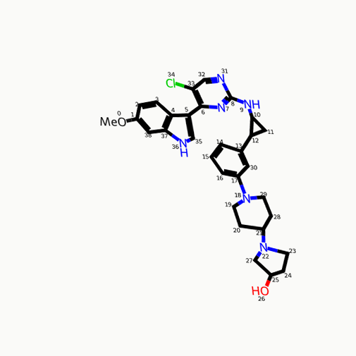 COc1ccc2c(-c3nc(NC4CC4c4cccc(N5CCC(N6CCC(O)C6)CC5)c4)ncc3Cl)c[nH]c2c1